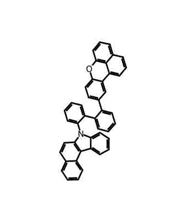 c1ccc(-c2ccccc2-n2c3ccccc3c3c4ccccc4ccc32)c(-c2ccc3c(c2)-c2cccc4cccc(c24)O3)c1